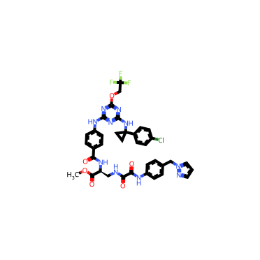 COC(=O)[C@H](CNC(=O)C(=O)Nc1ccc(Cn2cccn2)cc1)NC(=O)c1ccc(Nc2nc(NC3(c4ccc(Cl)cc4)CC3)nc(OCC(F)(F)F)n2)cc1